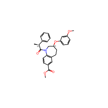 COC(=O)c1ccc2c(c1)CC[C@H](Oc1cccc(OC)c1)CN2C(=O)[C@@H](C)c1ccccc1